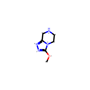 COc1nnc2n1CCNC2